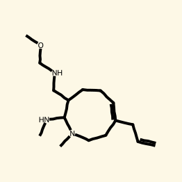 C=CCC1=CCCC(CNCOC)C(NC)N(C)CC1